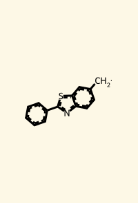 [CH2]c1ccc2nc(-c3ccccc3)sc2c1